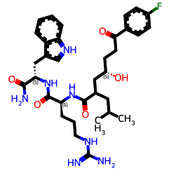 CC(C)CC(C[C@@H](O)CCC(=O)c1ccc(F)cc1)C(=O)N[C@@H](CCCNC(=N)N)C(=O)N[C@@H](Cc1c[nH]c2ccccc12)C(N)=O